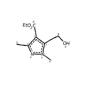 CCOC(=O)c1c(C)nn(C)c1CO